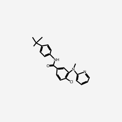 CN(c1ccccn1)c1cc(C(=O)Nc2ccc(C(C)(C)C)cc2)ccc1Cl